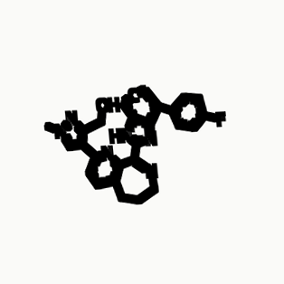 Cn1cc(-c2ccc3c(n2)C(c2nc4c(-c5ccc(F)cc5)cccc4[nH]2)=NCCC3)c(CO)n1